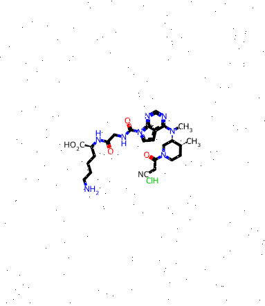 C[C@@H]1CCN(C(=O)CC#N)C[C@@H]1N(C)c1ncnc2c1ccn2C(=O)NCC(=O)N[C@@H](CCCCN)C(=O)O.Cl